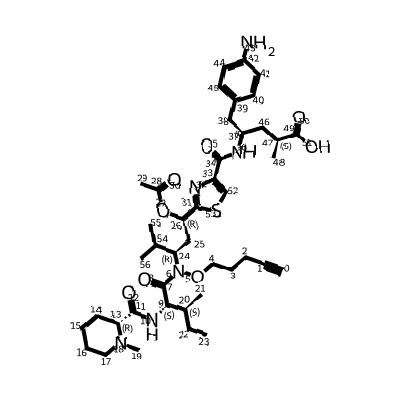 C#CCCCON(C(=O)[C@@H](NC(=O)[C@H]1CCCCN1C)[C@@H](C)CC)[C@H](C[C@@H](OC(C)=O)c1nc(C(=O)N[C@@H](Cc2ccc(N)cc2)C[C@H](C)C(=O)O)cs1)C(C)C